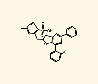 Cc1ccc(S(=O)(=O)O)c(CC2Cc3cc(-c4ccccc4)cc(-c4ccccc4Cl)c3O2)c1